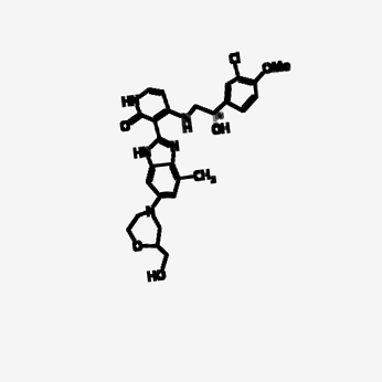 COc1ccc([C@H](O)CNc2cc[nH]c(=O)c2-c2nc3c(C)cc(N4CCOC(CO)C4)cc3[nH]2)cc1Cl